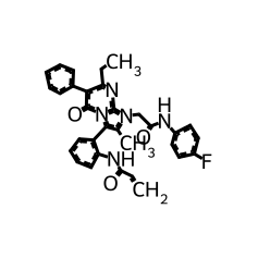 C=CC(=O)Nc1ccccc1-c1c(C)n(CC(=O)Nc2ccc(F)cc2)c2nc(CC)c(-c3ccccc3)c(=O)n12